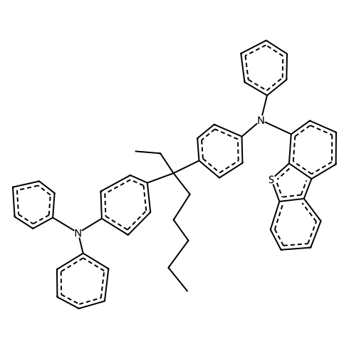 CCCCCC(CC)(c1ccc(N(c2ccccc2)c2ccccc2)cc1)c1ccc(N(c2ccccc2)c2cccc3c2sc2ccccc23)cc1